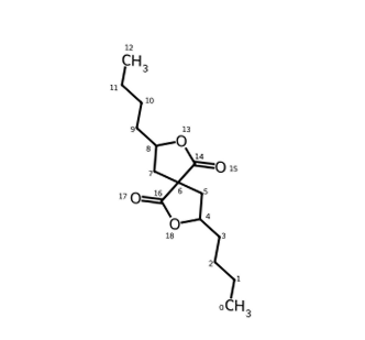 CCCCC1CC2(CC(CCCC)OC2=O)C(=O)O1